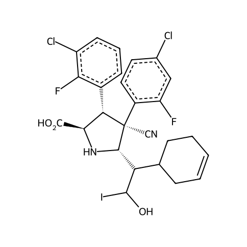 N#C[C@]1(c2ccc(Cl)cc2F)[C@H](C(C(O)I)C2CC=CCC2)N[C@@H](C(=O)O)[C@@H]1c1cccc(Cl)c1F